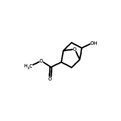 COC(=O)C1CC2OC1CC2O